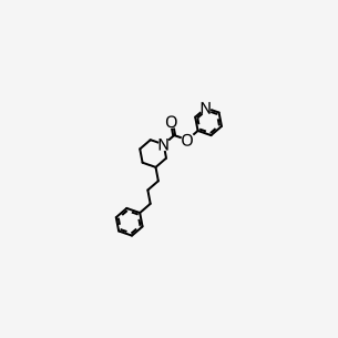 O=C(Oc1cccnc1)N1CCCC(CCCc2ccccc2)C1